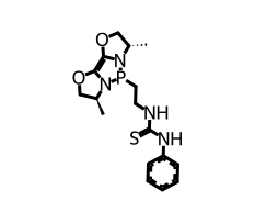 C[C@H]1COC2=C3OC[C@H](C)N3P(CCNC(=S)Nc3ccccc3)N21